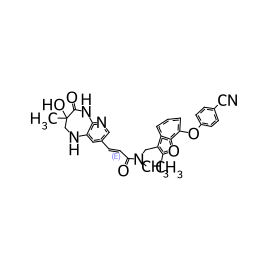 Cc1oc2c(Oc3ccc(C#N)cc3)cccc2c1CN(C)C(=O)/C=C/c1cnc2c(c1)NCC(C)(O)C(=O)N2